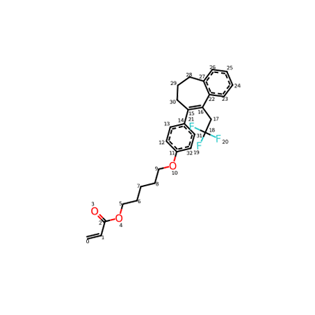 C=CC(=O)OCCCCCOc1ccc(C2=C(CC(F)(F)F)c3ccccc3CCC2)cc1